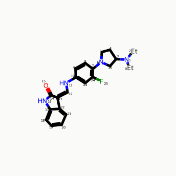 CCN(CC)C1CCN(c2ccc(NC=C3C(=O)Nc4ccccc43)cc2F)C1